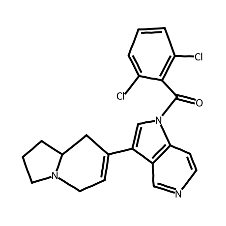 O=C(c1c(Cl)cccc1Cl)n1cc(C2=CCN3CCCC3C2)c2cnccc21